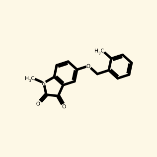 Cc1ccccc1COc1ccc2c(c1)C(=O)C(=O)N2C